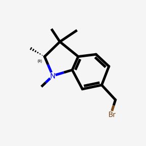 C[C@H]1N(C)c2cc(CBr)ccc2C1(C)C